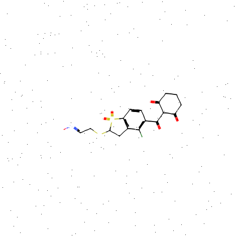 O=C1CCCC(=O)C1C(=O)c1ccc2c(c1Cl)CC(SCC=NO)S2(=O)=O